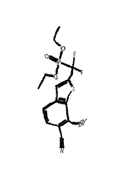 CCOP(=O)(OCC)C(F)(F)c1cc2ccc(C#N)c(Br)c2s1